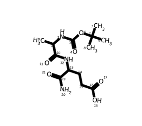 CC(NC(=O)OC(C)(C)C)C(=O)NC(CCC(=O)O)C(N)=O